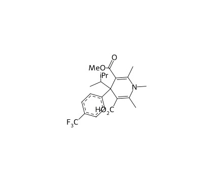 COC(=O)C1=C(C)N(C)C(C)=C(C(=O)O)C1(c1ccc(C(F)(F)F)cc1)C(C)C(C)C